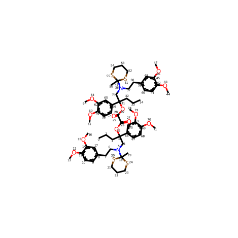 CCCC(CN(CCc1ccc(OC)c(OC)c1)C1(C)SCCCS1)(OC(=O)C(=O)OC(CCC)(CN(CCc1ccc(OC)c(OC)c1)C1(C)SCCCS1)c1ccc(OC)c(OC)c1)c1ccc(OC)c(OC)c1